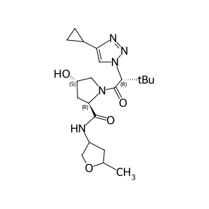 CC1CC(NC(=O)[C@H]2C[C@H](O)CN2C(=O)[C@H](n2cc(C3CC3)nn2)C(C)(C)C)CO1